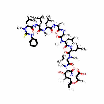 C/C=C/C[C@@H](C)[C@@H](O)[C@@H](C(=O)N[C@H](C(=O)O)[C@@H](C)O)N(C)C(=O)[C@H](C(C)C)N(C)C(=O)[C@H](CC(C)C)NC(=O)[C@H](CC(C)C)N(C)C(=O)[C@@H](C)NC(=O)[C@H](C)NC(=O)[C@H](CC(C)C)N(C)C(=O)[C@H](CC(C)C)NC(=O)[C@H](CC(C)C)N(C)C(=S)Nc1ccccc1